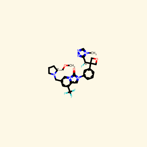 COC[C@H]1CCCN1Cc1cc(C(F)(F)F)c2cn(-c3cccc(C4([C@@H](F)c5nncn5C)COC4)c3)c(=O)n2c1